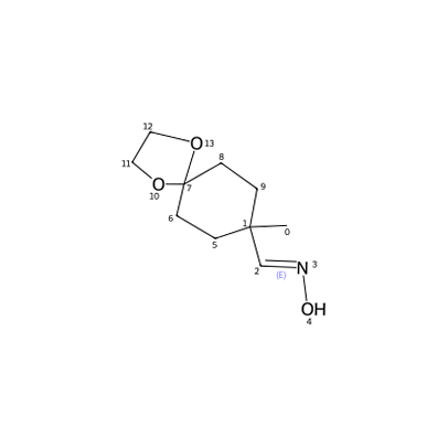 CC1(/C=N/O)CCC2(CC1)OCCO2